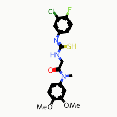 COc1ccc(N(C)C(=O)CNC(S)=Nc2ccc(F)c(Cl)c2)cc1OC